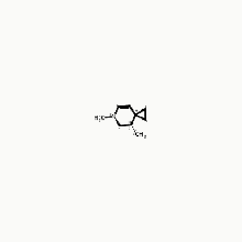 C[C@@H]1CN(C)C=CC12CC2